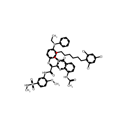 CCN(c1ccccc1)c1ccc(/N=C(/C(=O)Nc2cc(S(=O)(=O)NC)ccc2OC)c2nc3c(NC(C)=O)cccc3c(=O)n2CCCCCCCCc2c(Cl)cc(Cl)cc2Cl)c(C)c1